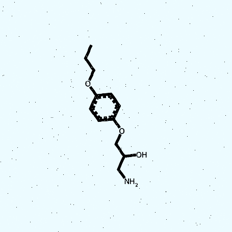 CCCOc1ccc(OCC(O)CN)cc1